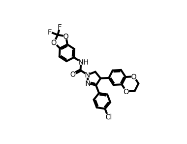 O=C(Nc1ccc2c(c1)OC(F)(F)O2)N1CC(c2ccc3c(c2)OCCO3)C(c2ccc(Cl)cc2)=N1